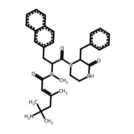 C/C(=C\C(=O)N(C)C(Cc1ccc2ccccc2c1)C(=O)N1CCNC(=O)C1Cc1ccccc1)CC(C)(C)N